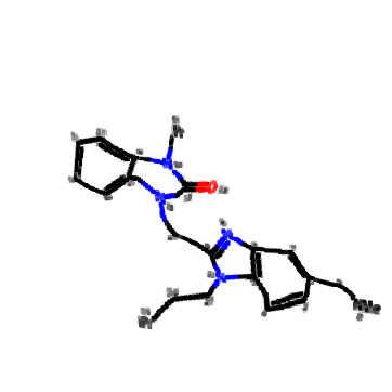 CNCc1ccc2c(c1)nc(Cn1c(=O)n(C(C)C)c3ccccc31)n2CCC(C)C